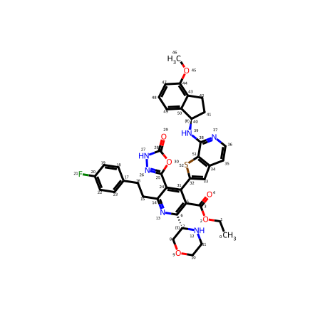 CCOC(=O)c1c([C@H]2COCCN2)nc(CCc2ccc(F)cc2)c(-c2n[nH]c(=O)o2)c1-c1cc2ccnc(N[C@@H]3CCc4c(OC)cccc43)c2s1